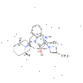 CC1C[C@@H]2C[C@H]1CCC[C@H](N1[C@@H]3CCC[C@H]1C[C@@H](n1c(=O)c(N4CC(C(=O)O)C4)nc4ccccc41)C3)C2